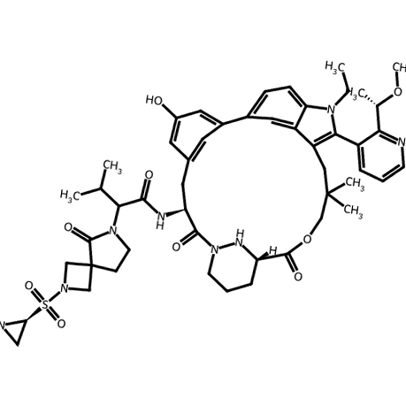 CCn1c(-c2cccnc2[C@H](C)OC)c2c3cc(ccc31)-c1cc(O)cc(c1)C[C@H](NC(=O)C(C(C)C)N1CCC3(CN(S(=O)(=O)[C@H]4CN4)C3)C1=O)C(=O)N1CCC[C@H](N1)C(=O)OCC(C)(C)C2